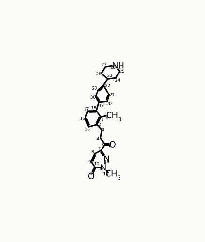 Cc1c(CCC(=O)c2ccc(=O)n(C)n2)cccc1-c1ccc(C2CCNCC2)cc1